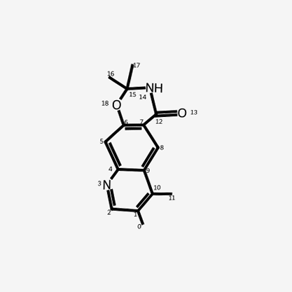 Cc1cnc2cc3c(cc2c1C)C(=O)NC(C)(C)O3